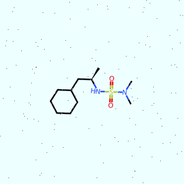 C[C@H](CC1CCCCC1)NS(=O)(=O)N(C)C